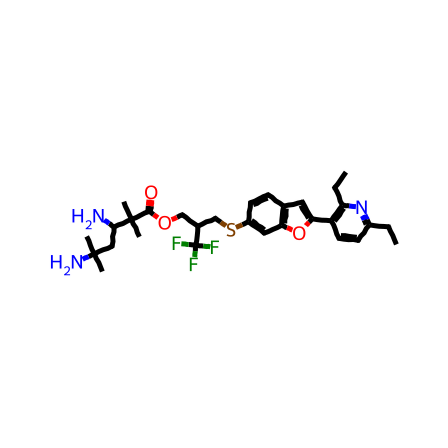 CCc1ccc(-c2cc3ccc(SCC(COC(=O)C(C)(C)C(N)CC(C)(C)N)C(F)(F)F)cc3o2)c(CC)n1